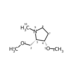 COC[C@H]1[C@@H](OC)CCN1C